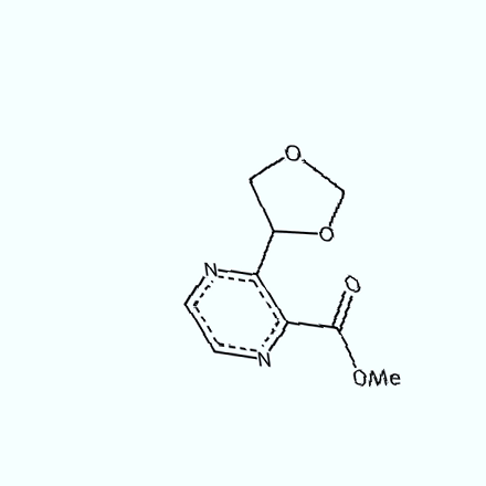 COC(=O)c1nccnc1C1COCO1